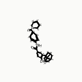 COc1ccc(C(=O)Nc2ccc(C(=O)N3CCCCC3)cc2)cc1C12CC3CC(CC(C3)C1)C2